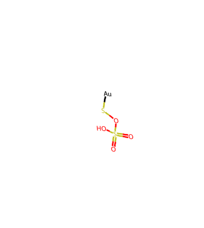 O=S(=O)(O)O[S][Au]